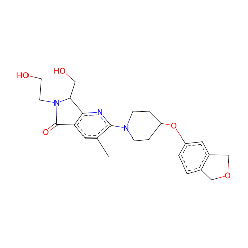 Cc1cc2c(nc1N1CCC(Oc3ccc4c(c3)COC4)CC1)C(CO)N(CCO)C2=O